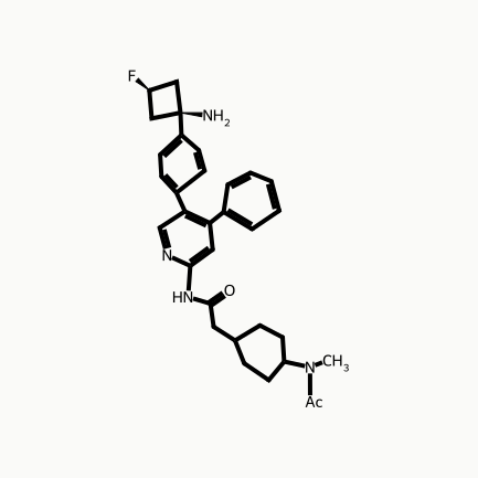 CC(=O)N(C)C1CCC(CC(=O)Nc2cc(-c3ccccc3)c(-c3ccc([C@]4(N)C[C@@H](F)C4)cc3)cn2)CC1